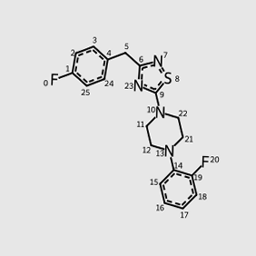 Fc1ccc(Cc2nsc(N3CCN(c4ccccc4F)CC3)n2)cc1